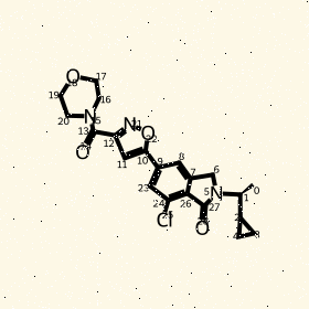 C[C@@H](C1CC1)N1Cc2cc(-c3cc(C(=O)N4CCOCC4)no3)cc(Cl)c2C1=O